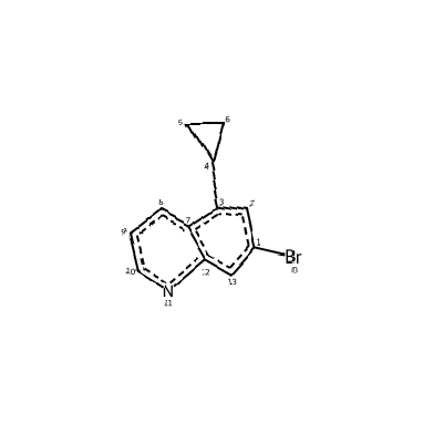 Brc1cc(C2CC2)c2cccnc2c1